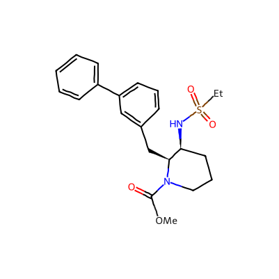 CCS(=O)(=O)N[C@H]1CCCN(C(=O)OC)[C@H]1Cc1cccc(-c2ccccc2)c1